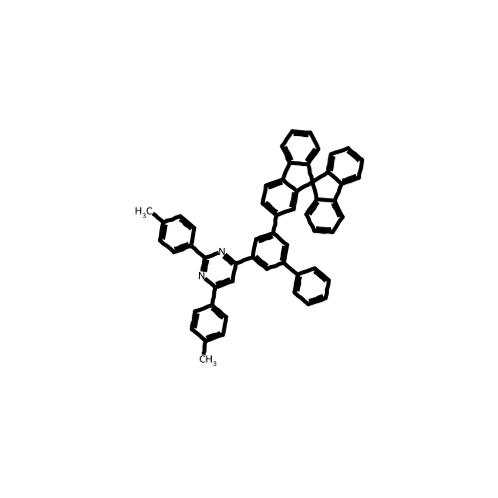 Cc1ccc(-c2cc(-c3cc(-c4ccccc4)cc(-c4ccc5c(c4)C4(c6ccccc6-c6ccccc64)c4ccccc4-5)c3)nc(-c3ccc(C)cc3)n2)cc1